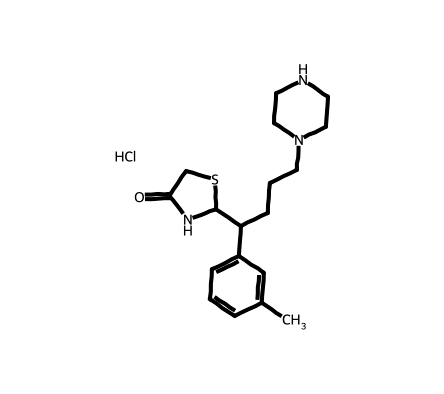 Cc1cccc(C(CCCN2CCNCC2)C2NC(=O)CS2)c1.Cl